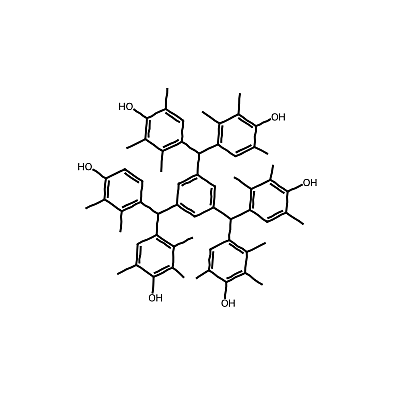 Cc1cc(C(c2cc(C(c3cc(C)c(O)c(C)c3C)c3cc(C)c(O)c(C)c3C)cc(C(c3cc(C)c(O)c(C)c3C)c3cc(C)c(O)c(C)c3C)c2)c2ccc(O)c(C)c2C)c(C)c(C)c1O